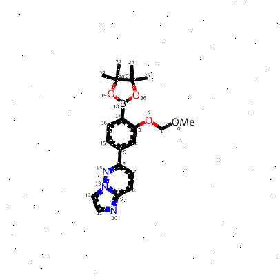 COCOc1cc(-c2ccc3nccn3n2)ccc1B1OC(C)(C)C(C)(C)O1